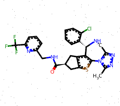 Cc1nnc2n1-c1sc3c(c1[C@H](c1ccccc1Cl)NC2)C[C@H](C(=O)NCc1cccc(C(F)(F)F)n1)C3